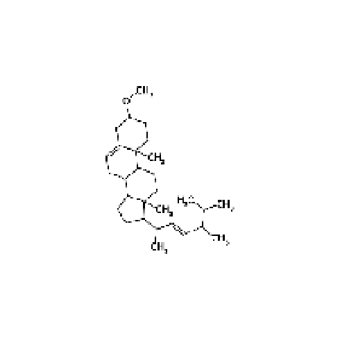 COC1CCC2(C)C(=CCC3C2CCC2(C)C(C(C)/C=C/C(C)C(C)C)CCC32)C1